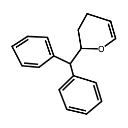 C1=COC(C(c2ccccc2)c2ccccc2)CC1